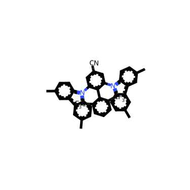 Cc1ccc2c(c1)c1cc(C)ccc1n2-c1cc(C#N)cc(-n2c3ccc(C)cc3c3cc(C)ccc32)c1-c1c(C(F)(F)F)cccc1C(F)(F)F